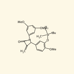 C=C1C(=O)N(c2cc(OC)cc(OC)c2)C1c1ccc(OC)c(O[Si](C)(C)C(C)(C)C)c1